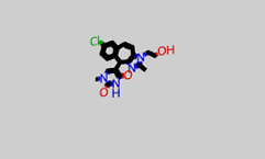 Cc1nc2c(n1CCO)C=Cc1cc(Cl)ccc1C2c1cn(C)c(=O)[nH]c1=O